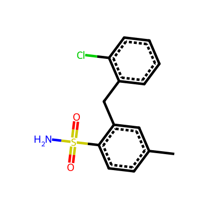 Cc1ccc(S(N)(=O)=O)c(Cc2ccccc2Cl)c1